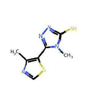 Cc1ncsc1-c1nnc(S)n1C